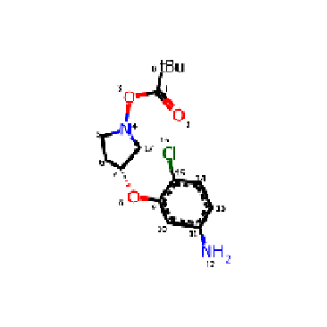 CC(C)(C)C(=O)ON1CC[C@@H](Oc2cc(N)ccc2Cl)C1